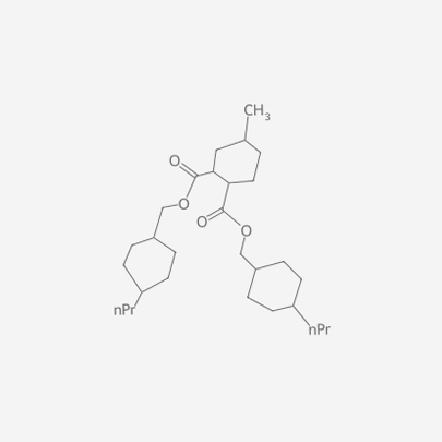 CCCC1CCC(COC(=O)C2CCC(C)CC2C(=O)OCC2CCC(CCC)CC2)CC1